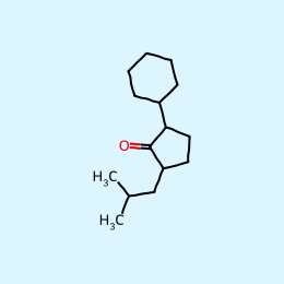 CC(C)CC1CCC(C2CCCCC2)C1=O